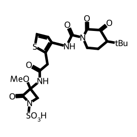 COC1(NC(=O)Cc2sccc2NC(=O)N2CCC(C(C)(C)C)C(=O)C2=O)CN(S(=O)(=O)O)C1=O